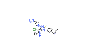 C=C/C=C\c1ccc(Sc2nc(N3CC4C(N)C4C3)c3c(Cl)c(CC)[nH]c3n2)cc1C